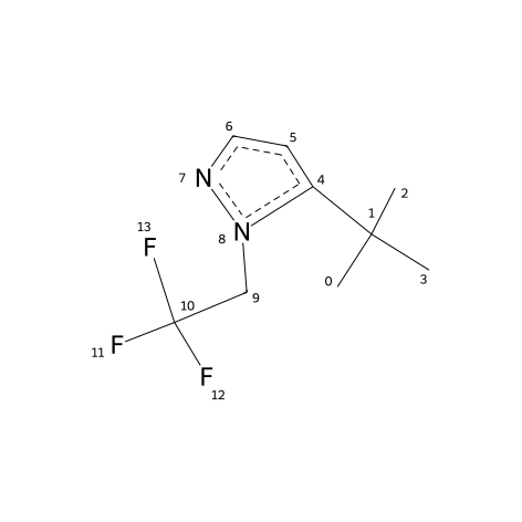 CC(C)(C)c1ccnn1CC(F)(F)F